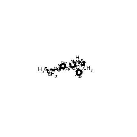 Cc1csc(Nc2ncc(Sc3cccc(OCCCN(C)C)c3)cc2Oc2ccccc2)n1